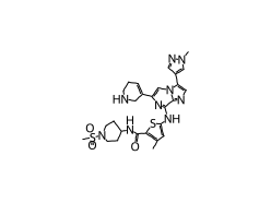 Cc1cc(Nc2nc(C3=CCCNC3)cn3c(-c4cnn(C)c4)cnc23)sc1C(=O)NC1CCN(S(C)(=O)=O)CC1